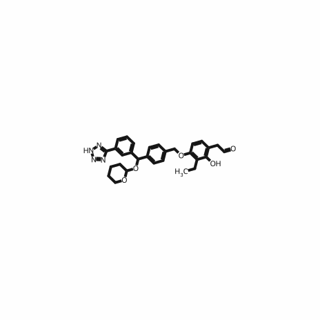 CCc1c(OCc2ccc(C(OC3CCCCO3)c3cccc(-c4nn[nH]n4)c3)cc2)ccc(CC=O)c1O